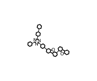 c1ccc(-c2ccc(-c3nc(-c4ccccc4)nc(-c4ccc(-c5ccc6c(c5)oc5c(-c7cccc8c7oc7ccccc78)cccc56)cc4)n3)cc2)cc1